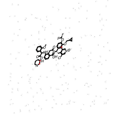 COc1ccccc1C(Nc1cccc(C(=O)O)c1CC(=O)O[C@@H](Cc1c(Cl)c[n+]([O-])cc1Cl)c1ccc(OC(F)F)c(OCC2CC2)c1)C(=O)O[C@H]1CN2CCC1CC2